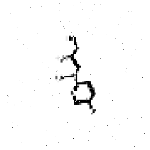 N/C(=C\N(N)c1ccc(Br)cn1)CO